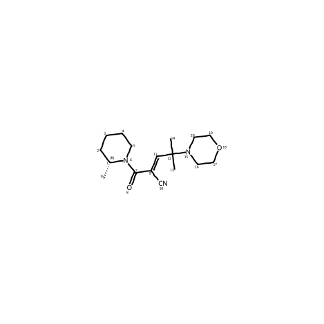 [CH2][C@@H]1CCCCN1C(=O)C(C#N)=CC(C)(C)N1CCOCC1